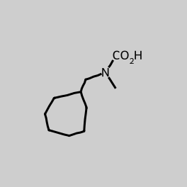 CN(CC1CCCCCC1)C(=O)O